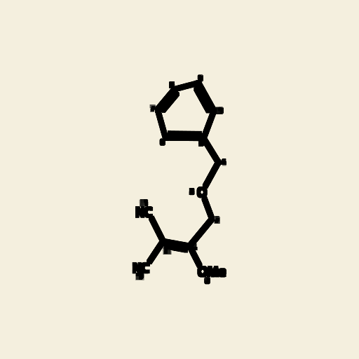 COC(COCc1ccccc1)=C(C#N)C#N